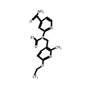 CCC(=O)N(Cc1ccc(OCC(F)(F)F)nc1C)c1cc(C(N)=O)ccn1